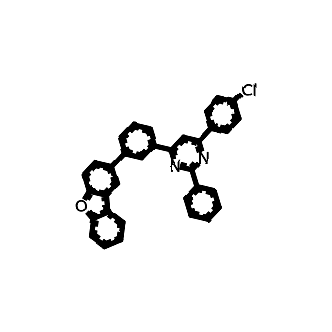 Clc1ccc(-c2cc(-c3cccc(-c4ccc5oc6ccccc6c5c4)c3)nc(-c3ccccc3)n2)cc1